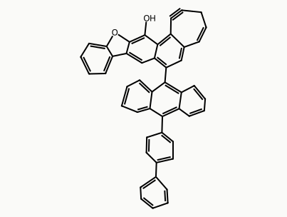 Oc1c2oc3ccccc3c2cc2c(-c3c4ccccc4c(-c4ccc(-c5ccccc5)cc4)c4ccccc34)cc3c(c12)C#CCC=C3